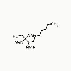 C=CCCCCCC(NC)C(CO)(NC)NC